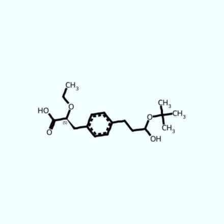 CCO[C@@H](Cc1ccc(CCC(O)OC(C)(C)C)cc1)C(=O)O